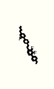 CCCCc1ccc(C2=CCC(CCc3ccc(-c4ccc(CC)cc4)c(F)c3F)CC2)c(F)c1